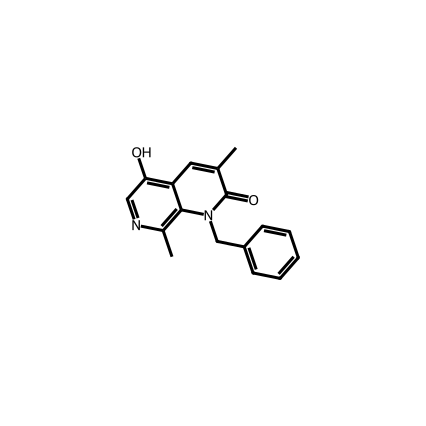 Cc1cc2c(O)cnc(C)c2n(Cc2ccccc2)c1=O